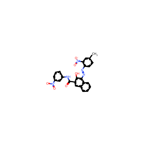 Cc1ccc(N=Nc2c(O)c(C(=O)Nc3cccc([N+](=O)[O-])c3)cc3ccccc23)c([N+](=O)[O-])c1